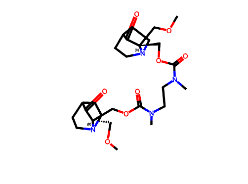 COC[C@@]1(COC(=O)N(C)CCN(C)C(=O)OC[C@]2(COC)C(=O)C3CCN2CC3)C(=O)C2CCN1CC2